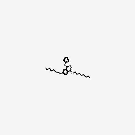 CCCCCCCCOC(=O)c1ccc(CCCCCCCC)cc1C(=O)Oc1ccccc1